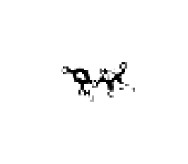 Cc1cc(Cl)ccc1OC(Br)C(=O)C(C)(C)CCl